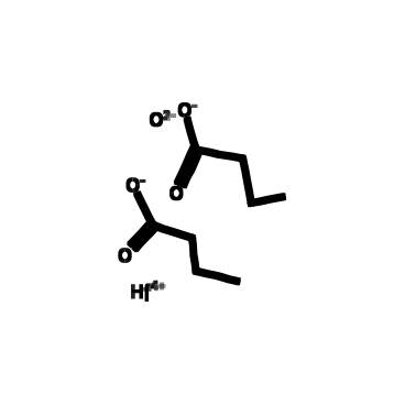 CCCC(=O)[O-].CCCC(=O)[O-].[Hf+4].[O-2]